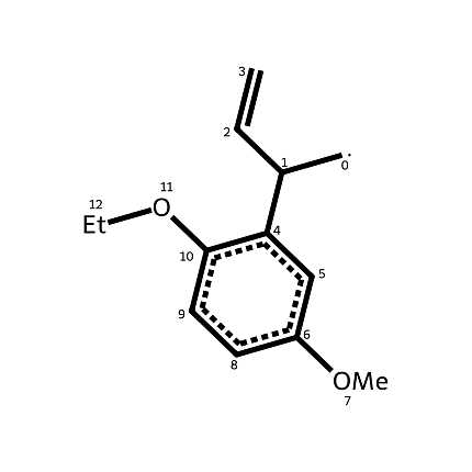 [CH2]C(C=C)c1cc(OC)ccc1OCC